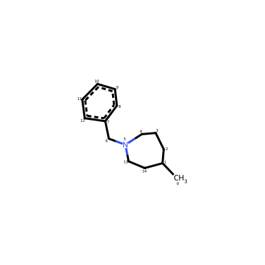 CC1CCCN(Cc2ccccc2)CC1